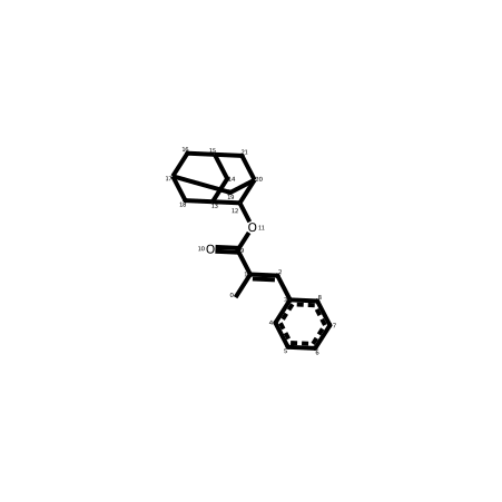 CC(=Cc1ccccc1)C(=O)OC1C2CC3CC(C2)CC1C3